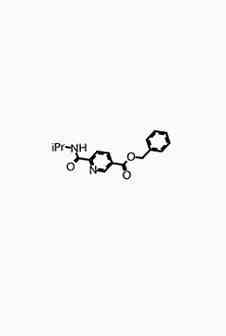 CC(C)NC(=O)c1ccc(C(=O)OCc2ccccc2)cn1